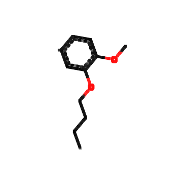 CCCCOc1c[c]ccc1OC